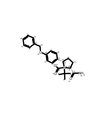 CC(C)(C)[N+]1(C(=O)[O-])[C@@H](C(N)=O)CC[C@H]1c1ccc(OCc2ccccc2)cc1